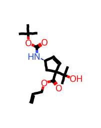 C=CCOC(=O)C1(C(C)(C)O)C=C[C@@H](NC(=O)OC(C)(C)C)C1